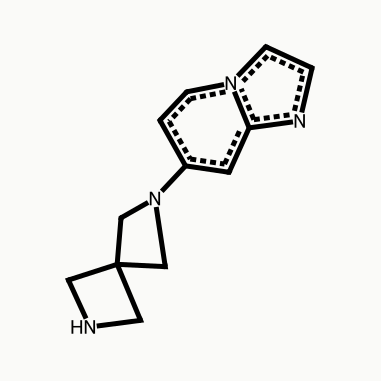 c1cn2ccc(N3CC4(CNC4)C3)cc2n1